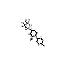 Cc1ccc(-c2ccc(B3OC(C)(C)C(C)(C)O3)cc2F)cc1